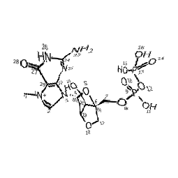 C[n+]1cn([C@@H]2O[C@]3(COP(=O)(O)OP(=O)(O)O)COC2C3O)c2nc(N)[nH]c(=O)c21